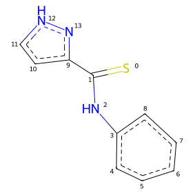 S=C(Nc1ccccc1)c1cc[nH]n1